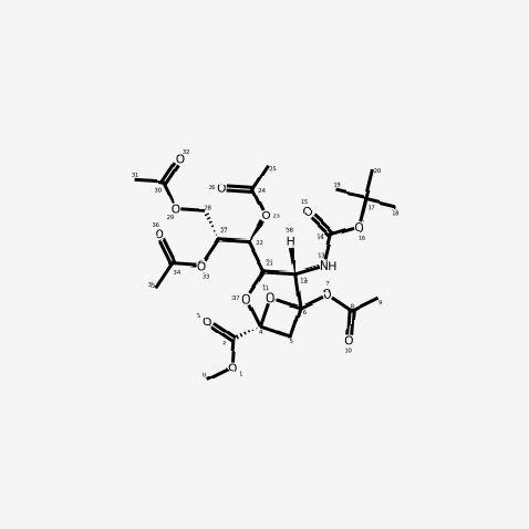 COC(=O)[C@@]12CC(OC(C)=O)(O1)[C@@H](NC(=O)OC(C)(C)C)C([C@H](OC(C)=O)[C@@H](COC(C)=O)OC(C)=O)O2